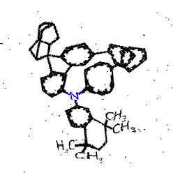 CC1(C)CCC(C)(C)c2cc(N(c3ccc(-c4ccccc4)cc3)c3cccc4c3-c3cc(-c5ccccc5)ccc3C43C4CC5CC(C4)C3C5)ccc21